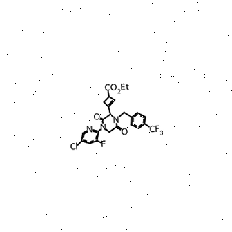 CCOC(=O)C1C=C(C2C(=O)N(c3ncc(Cl)cc3F)CC(=O)N2Cc2ccc(C(F)(F)F)cc2)C1